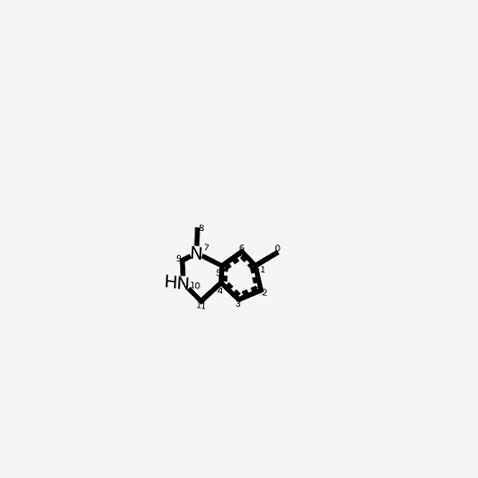 Cc1ccc2c(c1)N(C)CNC2